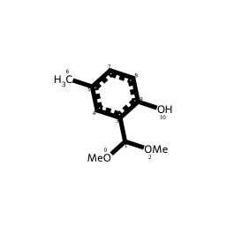 COC(OC)c1cc(C)ccc1O